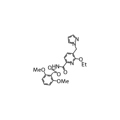 CCOc1nc(C(=O)NS(=O)(=O)c2c(OC)cccc2OC)ccc1Cn1cccn1